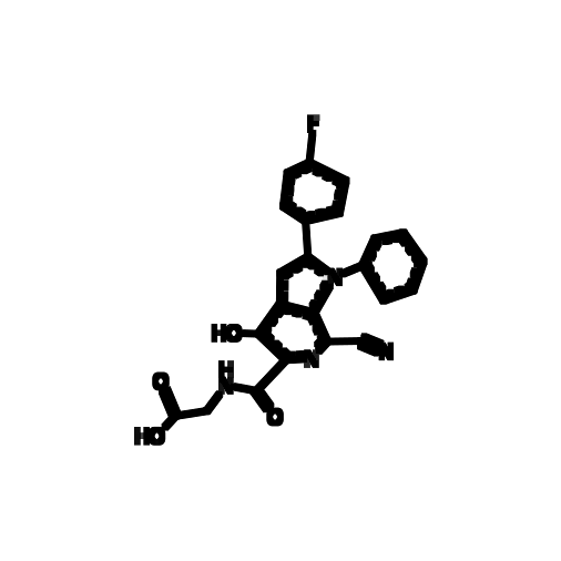 N#Cc1nc(C(=O)NCC(=O)O)c(O)c2cc(-c3ccc(F)cc3)n(-c3ccccc3)c12